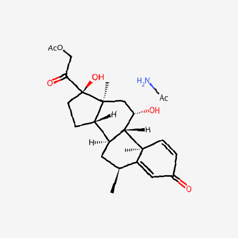 CC(=O)OCC(=O)[C@@]1(O)CC[C@H]2[C@@H]3C[C@H](C)C4=CC(=O)C=C[C@]4(C)[C@H]3[C@@H](O)C[C@@]21C.CC(N)=O